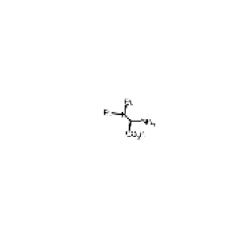 CCN(CC)C(N)C(=O)O